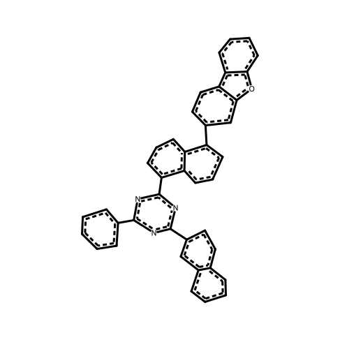 c1ccc(-c2nc(-c3ccc4ccccc4c3)nc(-c3cccc4c(-c5ccc6c(c5)oc5ccccc56)cccc34)n2)cc1